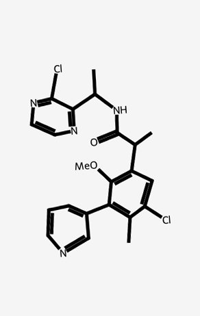 COc1c(C(C)C(=O)NC(C)c2nccnc2Cl)cc(Cl)c(C)c1-c1cccnc1